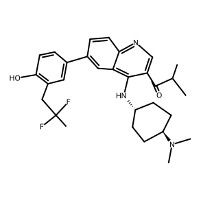 CC(C)C(=O)c1cnc2ccc(-c3ccc(O)c(CC(C)(F)F)c3)cc2c1N[C@H]1CC[C@H](N(C)C)CC1